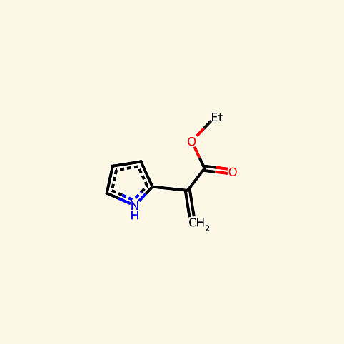 C=C(C(=O)OCC)c1ccc[nH]1